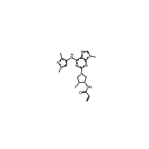 C=CC(=O)N[C@@H]1CN(c2nc(Nc3cn(C)nc3C)c3ncn(C)c3n2)C[C@@H]1F